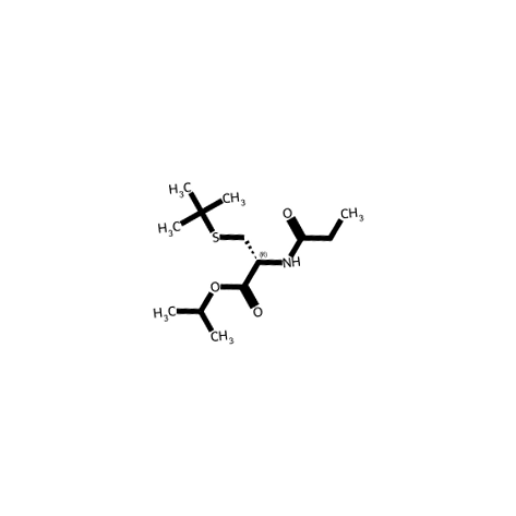 CCC(=O)N[C@@H](CSC(C)(C)C)C(=O)OC(C)C